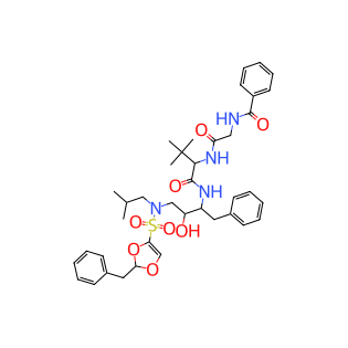 CC(C)CN(CC(O)C(Cc1ccccc1)NC(=O)C(NC(=O)CNC(=O)c1ccccc1)C(C)(C)C)S(=O)(=O)C1=COC(Cc2ccccc2)O1